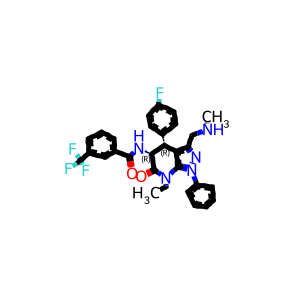 CCN1C(=O)[C@H](NC(=O)c2cccc(C(F)(F)F)c2)[C@H](c2ccc(F)cc2)c2c(CNC)nn(-c3ccccc3)c21